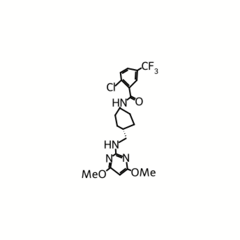 COc1cc(OC)nc(NC[C@H]2CC[C@H](NC(=O)c3cc(C(F)(F)F)ccc3Cl)CC2)n1